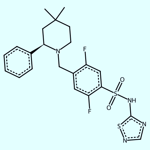 CC1(C)CCN(Cc2cc(F)c(S(=O)(=O)Nc3ncns3)cc2F)[C@@H](c2ccccc2)C1